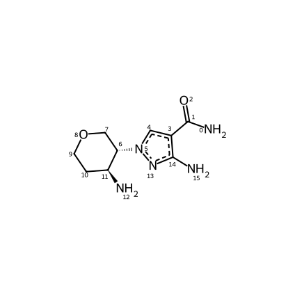 NC(=O)c1cn([C@H]2COCC[C@@H]2N)nc1N